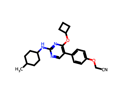 CC1CCC(Nc2ncc(-c3ccc(OCC#N)cc3)c(OC3CCC3)n2)CC1